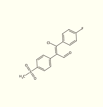 CS(=O)(=O)c1ccc(C(C=O)=C(Cl)c2ccc(F)cc2)cc1